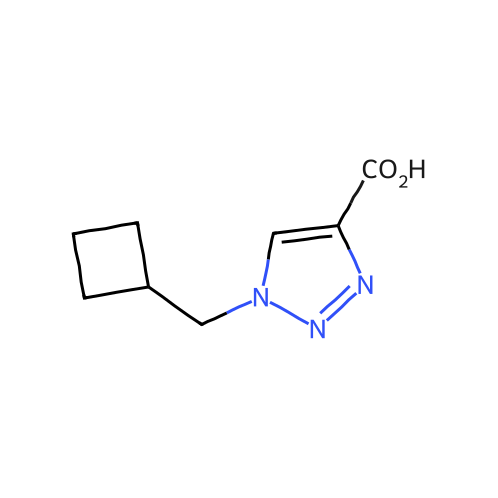 O=C(O)c1cn(CC2CCC2)nn1